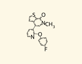 Cn1cc(-c2cccnc2Oc2ccc(F)cc2)c2ccsc2c1=O